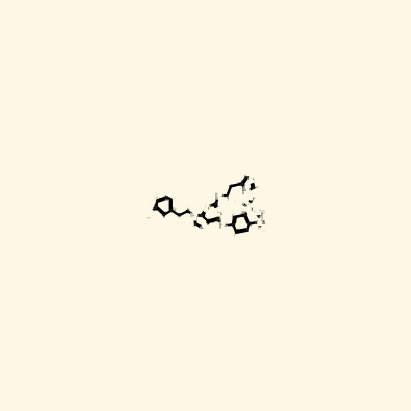 O=P(O)(O)c1ccc(Nc2nc(NCCc3cnc[nH]3)nc3c2ncn3CCc2cccc(O)c2)cc1P(=O)(O)O